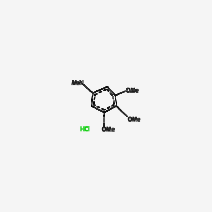 CNc1cc(OC)c(OC)c(OC)c1.Cl